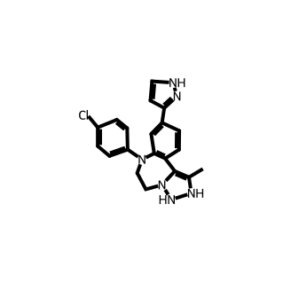 CC1=C2c3ccc(-c4cc[nH]n4)cc3N(c3ccc(Cl)cc3)CCN2NN1